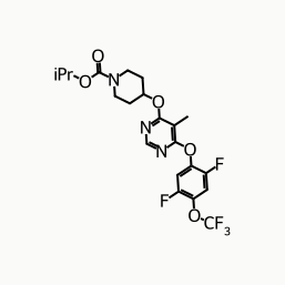 Cc1c(Oc2cc(F)c(OC(F)(F)F)cc2F)ncnc1OC1CCN(C(=O)OC(C)C)CC1